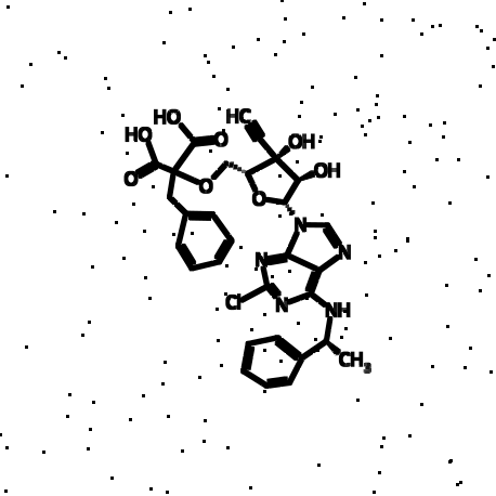 C#C[C@@]1(O)[C@@H](COC(Cc2ccccc2)(C(=O)O)C(=O)O)O[C@@H](n2cnc3c(N[C@@H](C)c4ccccc4)nc(Cl)nc32)[C@@H]1O